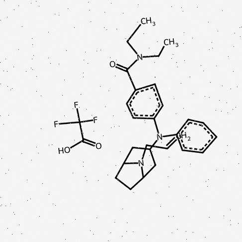 C=CCN1C2CCC1CC(N(c1ccccc1)c1ccc(C(=O)N(CC)CC)cc1)C2.O=C(O)C(F)(F)F